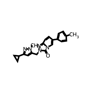 Cc1ccc(-c2ccc3nn(Cc4cc(C5CC5)nn4C)c(=O)n3c2)cc1